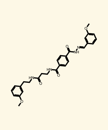 COc1cccc(C=NNC(=O)c2ccc(C(=O)NCCC(=O)NCCc3cccc(OC)c3)cc2)c1